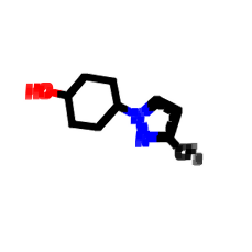 OC1CCC(n2ccc(C(F)(F)F)n2)CC1